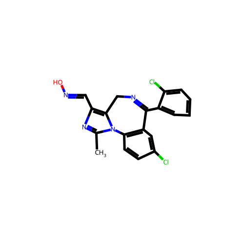 Cc1nc(C=NO)c2n1-c1ccc(Cl)cc1C(c1ccccc1Cl)=NC2